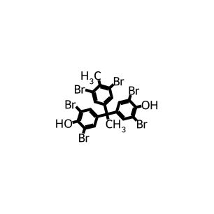 Cc1c(Br)cc(C(C)(c2cc(Br)c(O)c(Br)c2)c2cc(Br)c(O)c(Br)c2)cc1Br